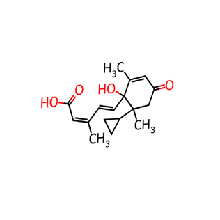 CC1=CC(=O)CC(C)(C2CC2)C1(O)/C=C/C(C)=C\C(=O)O